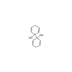 OC1(C2(O)C=CCC=C2)C=CCC=C1